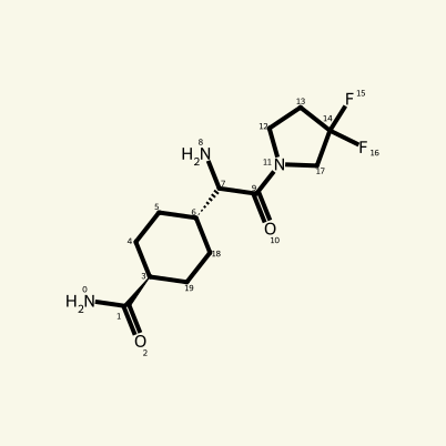 NC(=O)[C@H]1CC[C@H](C(N)C(=O)N2CCC(F)(F)C2)CC1